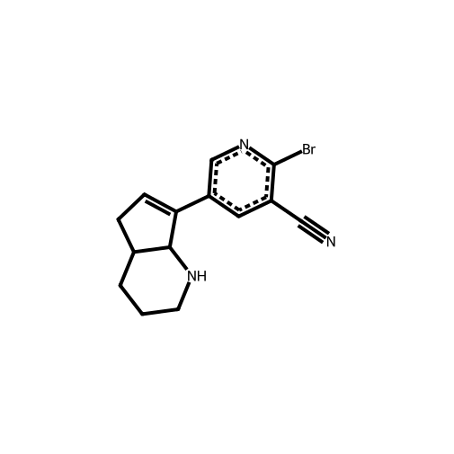 N#Cc1cc(C2=CCC3CCCNC23)cnc1Br